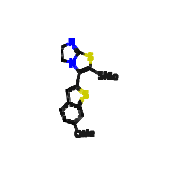 COc1ccc2cc(C3=C(SC)SC4=NCCN43)sc2c1